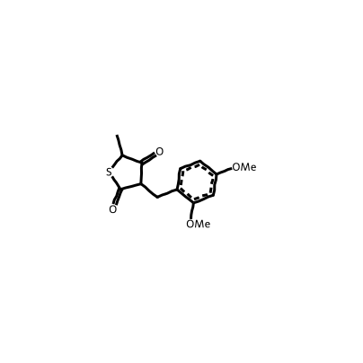 COc1ccc(CC2C(=O)SC(C)C2=O)c(OC)c1